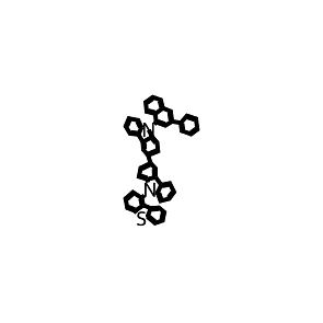 c1ccc(-c2cc(-n3c4ccccc4c4cc(-c5ccc6c(c5)c5ccccc5n6-c5cccc6sc7ccccc7c56)ccc43)c3ccccc3c2)cc1